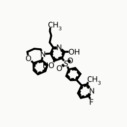 CCCCc1nc(O)c(S(=O)(=O)c2ccc(-c3ccc(F)nc3C)cc2)c(O)c1N1CCCOc2ccccc21